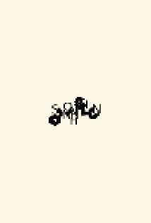 O=C(Nc1csc2ccccc12)NC1C2CCN(CC2)C1Cc1cccnc1